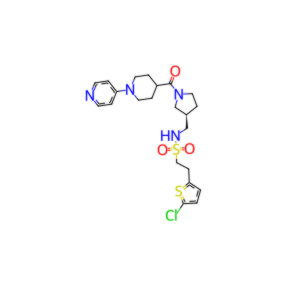 O=C(C1CCN(c2ccncc2)CC1)N1CC[C@@H](CNS(=O)(=O)CCc2ccc(Cl)s2)C1